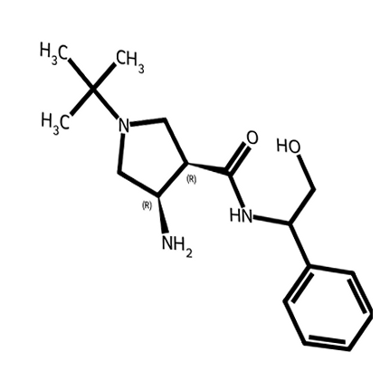 CC(C)(C)N1C[C@H](N)[C@H](C(=O)NC(CO)c2ccccc2)C1